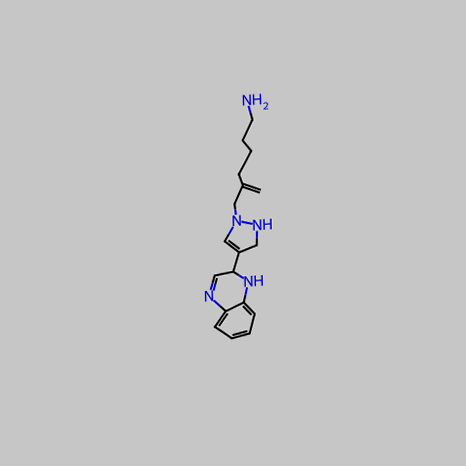 C=C(CCCCN)CN1C=C(C2C=Nc3ccccc3N2)CN1